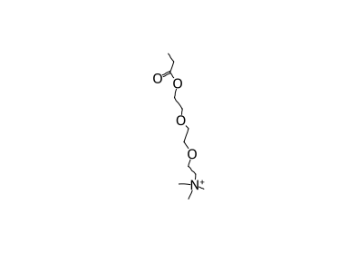 CCC(=O)OCCOCCOCC[N+](C)(C)C